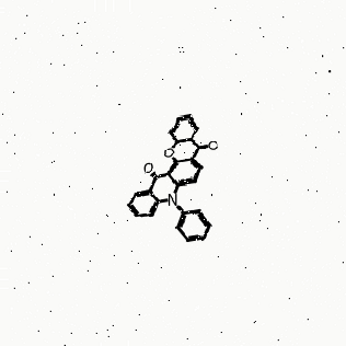 O=C1c2ccc3c(c2OC2C=CC=CC12)c(=O)c1ccccc1n3-c1ccccc1